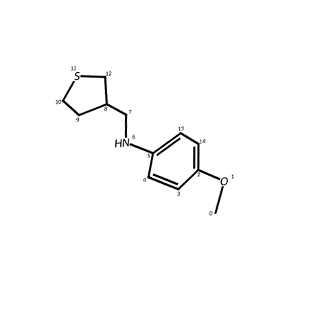 COc1ccc(NCC2CCSC2)cc1